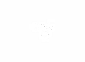 CCS(=O)(=O)c1ccccc1C1CCCC1